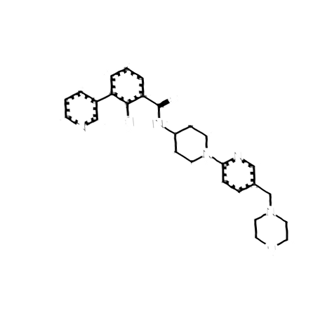 O=C(NC1CCN(c2ccc(CN3CCOCC3)cn2)CC1)c1cccc(-c2cccnc2)c1Cl